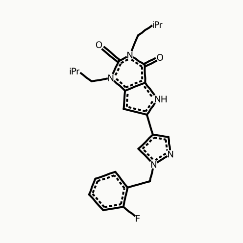 CC(C)Cn1c(=O)c2[nH]c(-c3cnn(Cc4ccccc4F)c3)cc2n(CC(C)C)c1=O